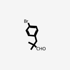 CC(C)(C=O)Cc1ccc(Br)cc1